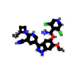 COc1cc2[nH]nc(-c3cnc(N4CC[C@H]4C)c(C#N)c3)c2cc1O[C@H](N)c1c(Cl)cncc1Cl